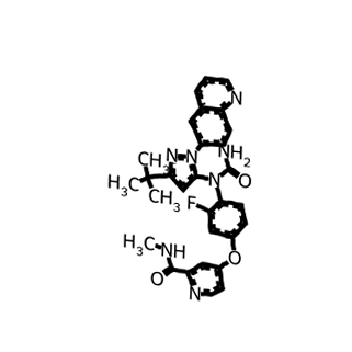 CNC(=O)c1cc(Oc2ccc(N(C(N)=O)c3cc(C(C)(C)C)nn3-c3ccc4ncccc4c3)c(F)c2)ccn1